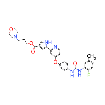 Cc1ccc(F)c(NC(=O)Nc2ccc(Oc3ccnc(-c4cc(C(=O)OCCCN5CCOCC5)c[nH]4)c3)cc2)c1